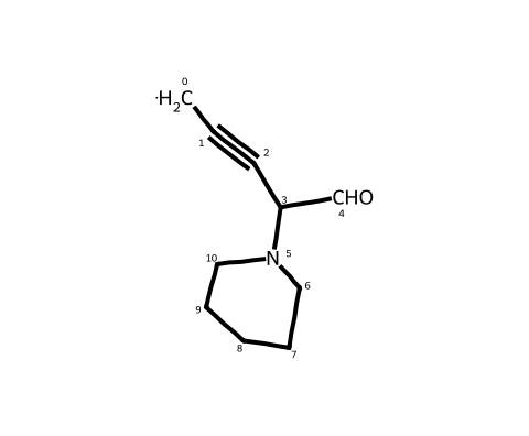 [CH2]C#CC(C=O)N1CCCCC1